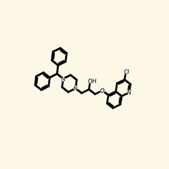 OC(COc1cccc2ncc(Cl)cc12)CN1CCN(C(c2ccccc2)c2ccccc2)CC1